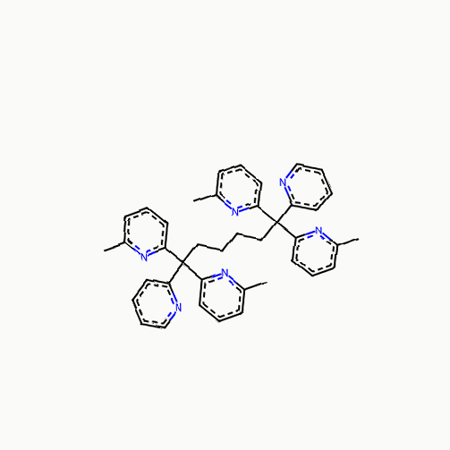 Cc1cccc(C(CCCCC(c2ccccn2)(c2cccc(C)n2)c2cccc(C)n2)(c2ccccn2)c2cccc(C)n2)n1